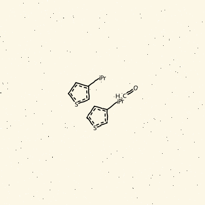 C=O.CC(C)c1ccsc1.CC(C)c1ccsc1